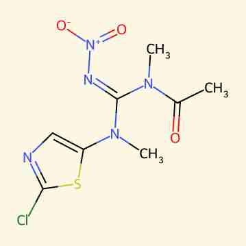 CC(=O)N(C)C(=N[N+](=O)[O-])N(C)c1cnc(Cl)s1